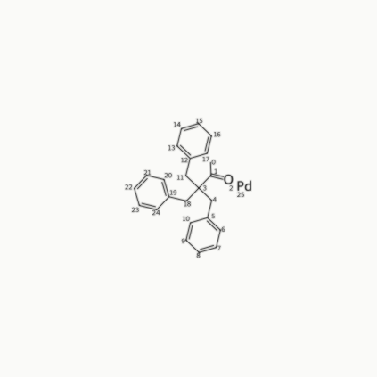 CC(=O)C(Cc1ccccc1)(Cc1ccccc1)Cc1ccccc1.[Pd]